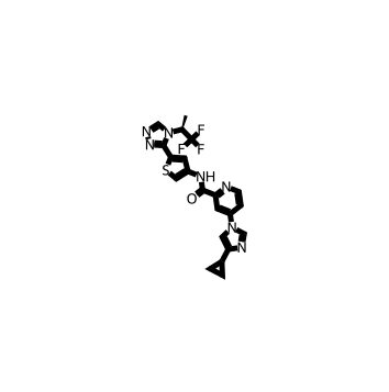 C[C@H](n1cnnc1-c1cc(NC(=O)c2cc(-n3cnc(C4CC4)c3)ccn2)cs1)C(F)(F)F